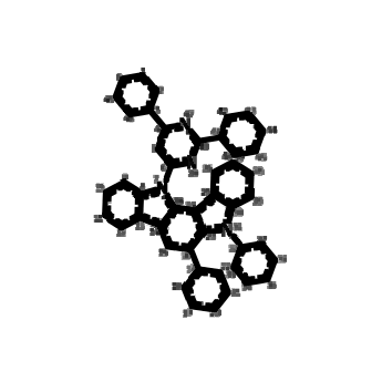 c1ccc(-c2cc(-n3c4ccccc4c4cc(-c5ccccc5)c5c(c6ccccc6n5-c5ccccc5)c43)nc(-c3ccccc3)n2)cc1